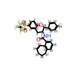 O=C(NC(Cc1cccc(S(=O)(=O)C(F)(F)F)c1)C(O)c1ccc(F)cc1)c1cccc2c1C=CCCC2